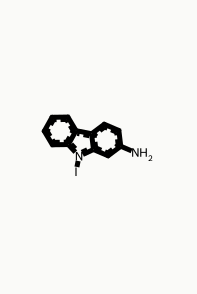 Nc1ccc2c3ccccc3n(I)c2c1